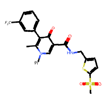 Cc1c(-c2cccc(C(F)(F)F)c2)c(=O)c(C(=O)NCc2ccc(S(C)(=O)=O)s2)cn1C(C)C